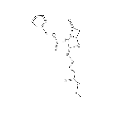 CCOC(=O)CSCC=C1OC2CC(=O)N2[C@H]1C(=O)OCc1ccccc1